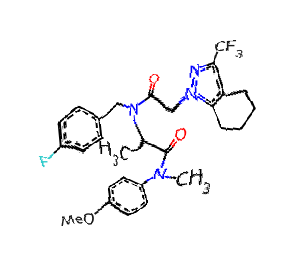 COc1ccc(N(C)C(=O)C(C)N(Cc2ccc(F)cc2)C(=O)Cn2nc(C(F)(F)F)c3c2CCCC3)cc1